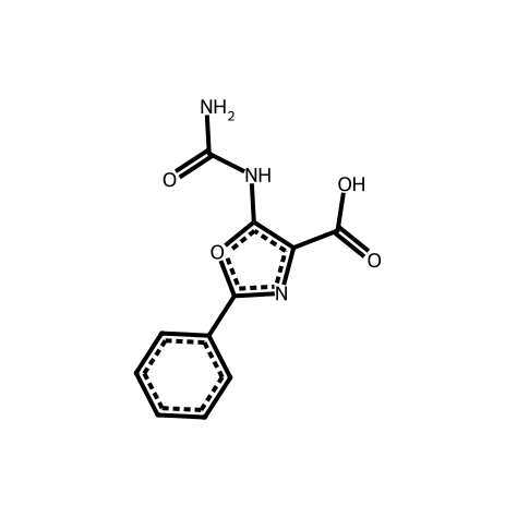 NC(=O)Nc1oc(-c2ccccc2)nc1C(=O)O